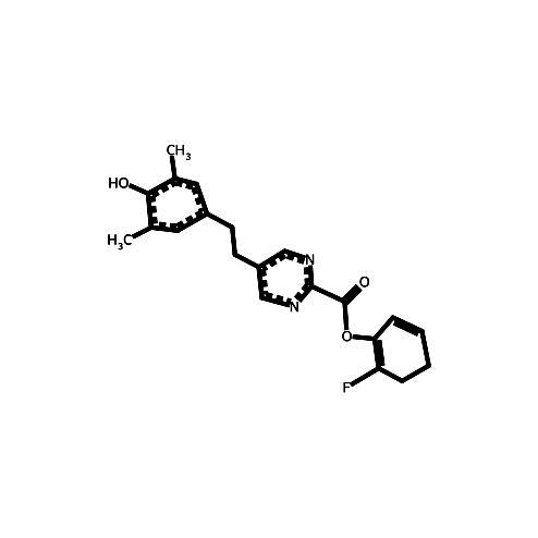 Cc1cc(CCc2cnc(C(=O)OC3=C(F)CCC=C3)nc2)cc(C)c1O